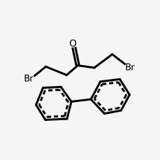 O=C(CCBr)CCBr.c1ccc(-c2ccccc2)cc1